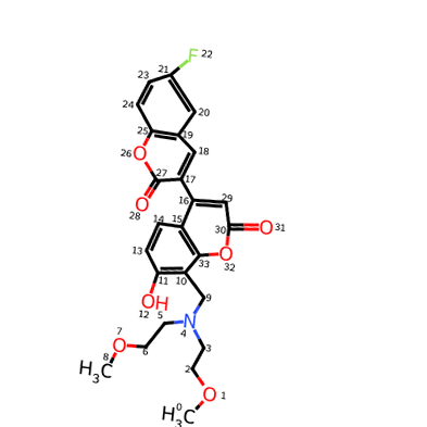 COCCN(CCOC)Cc1c(O)ccc2c(-c3cc4cc(F)ccc4oc3=O)cc(=O)oc12